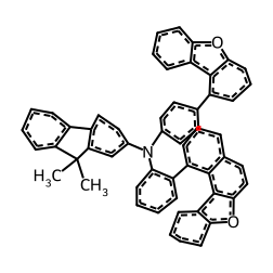 CC1(C)c2ccccc2-c2ccc(N(c3ccc(-c4cccc5oc6ccccc6c45)cc3)c3ccccc3-c3cccc4ccc5oc6ccccc6c5c34)cc21